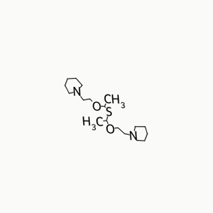 CC(OCCN1CCCCC1)SC(C)OCCN1CCCCC1